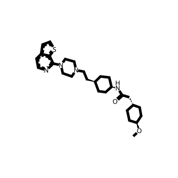 CO[C@H]1CC[C@H](CC(=O)N[C@H]2CC[C@H](CCN3CCN(c4nccc5ccsc45)CC3)CC2)CC1